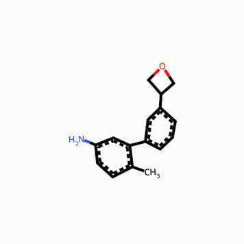 Cc1ccc(N)cc1-c1cccc(C2COC2)c1